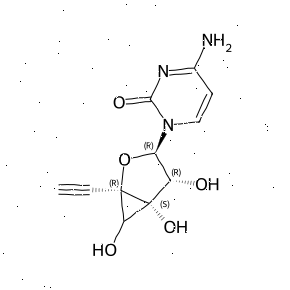 C#C[C@]12O[C@@H](n3ccc(N)nc3=O)[C@H](O)[C@@]1(O)C2O